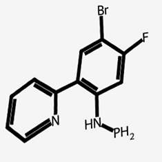 Fc1cc(NP)c(-c2ccccn2)cc1Br